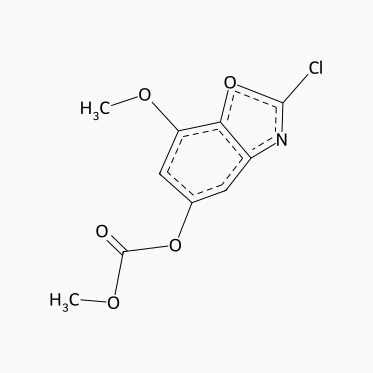 COC(=O)Oc1cc(OC)c2oc(Cl)nc2c1